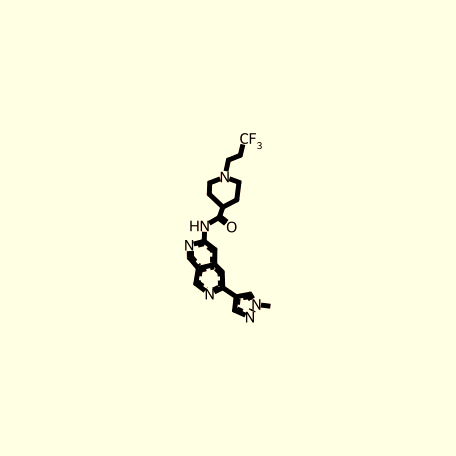 Cn1cc(-c2cc3cc(NC(=O)C4CCN(CCC(F)(F)F)CC4)ncc3cn2)cn1